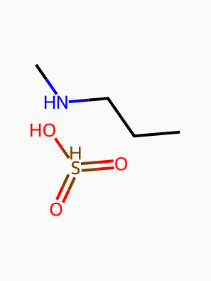 CCCNC.O=[SH](=O)O